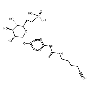 C#CCCCCNC(=O)Nc1ccc(O[C@H]2O[C@H](CCP(=O)(O)O)[C@@H](O)[C@H](O)[C@@H]2O)cn1